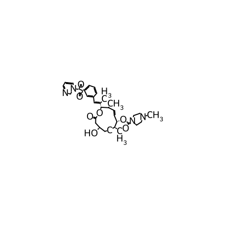 C/C(=C\c1cccc(S(=O)(=O)N2C=CC=NC2)c1)[C@H]1OC(=O)C[C@H](O)CC[C@H](C)[C@@H](OC(=O)N2CCN(C)CC2)/C=C/[C@@H]1C